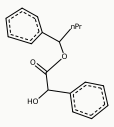 CCCC(OC(=O)C(O)c1ccccc1)c1ccccc1